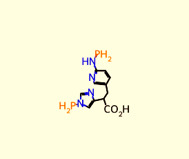 O=C(O)C(Cc1ccc(NP)nc1)c1cn(P)cn1